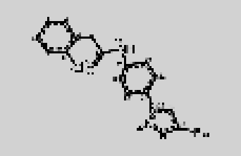 O=C(Cc1ccccc1Cl)Nc1ccc(-n2cc(F)cn2)cc1